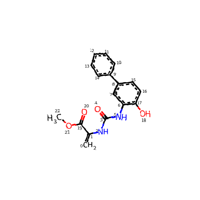 C=C(NC(=O)Nc1cc(-c2ccccc2)ccc1O)C(=O)OC